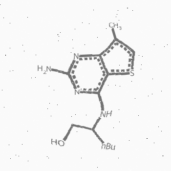 CCCCC(CO)Nc1nc(N)nc2c(C)csc12